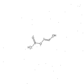 CC(=O)OC=CO